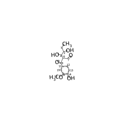 CCC(O)C(O)C([C]=O)C(=O)c1ccc(O)c(OC)c1